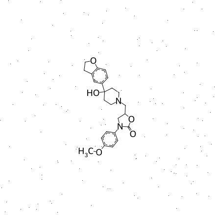 COc1ccc(N2CC(CN3CCC(O)(c4ccc5c(c4)CCO5)CC3)OC2=O)cc1